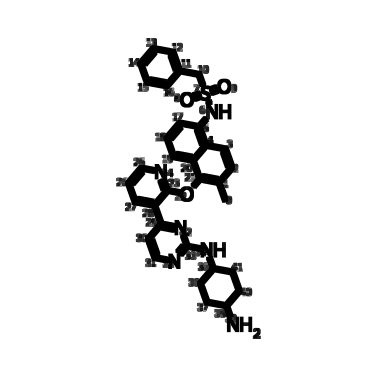 Cc1ccc2c(NS(=O)(=O)Cc3ccccc3)cccc2c1Oc1ncccc1-c1ccnc(NC2CCC(N)CC2)n1